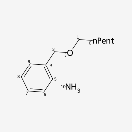 CCCCCCOCc1ccccc1.N